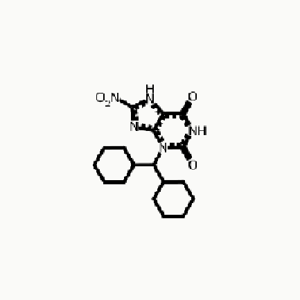 O=c1[nH]c(=O)n(C(C2CCCCC2)C2CCCCC2)c2nc([N+](=O)[O-])[nH]c12